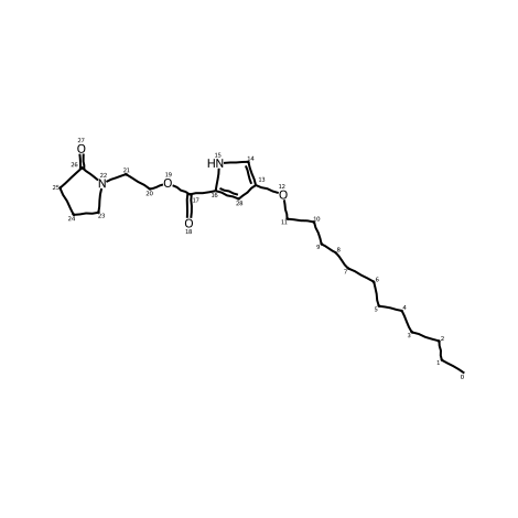 CCCCCCCCCCCCOc1c[nH]c(C(=O)OCCN2CCCC2=O)c1